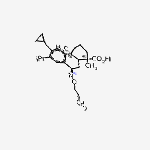 C=CCO/N=C1\CC2[C@](C)(C(=O)O)CCC[C@]2(C)c2cc(C3CC3)c(C(C)C)cc21